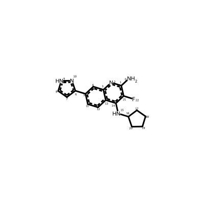 Nc1nc2cc(-c3cc[nH]n3)ccc2c(NC2CCCC2)c1F